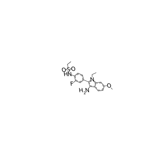 CCn1c(-c2ccc(NS(=O)(=O)CC)c(F)c2)c(N)c2ccc(OC)cc21